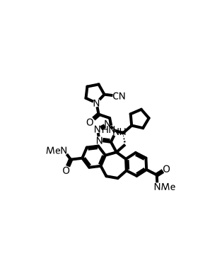 CNC(=O)c1ccc2c(c1)CCc1cc(C(=O)NC)ccc1C2(C[C@H](NCC(=O)N1CCCC1C#N)C1CCCC1)c1nnn[nH]1